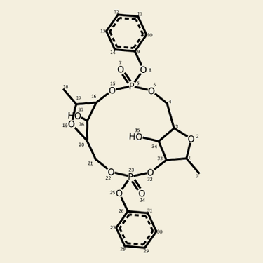 CC1OC2COP(=O)(Oc3ccccc3)OC3C(C)OC(COP(=O)(Oc4ccccc4)OC1C2O)C3O